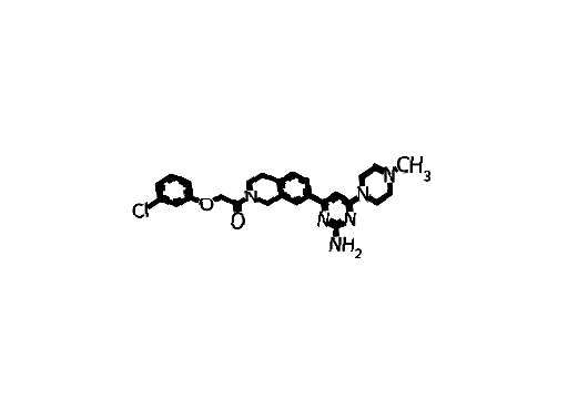 CN1CCN(c2cc(-c3ccc4c(c3)CN(C(=O)COc3cccc(Cl)c3)CC4)nc(N)n2)CC1